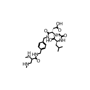 CNCC(NC)C(=O)NCc1ccc(CNC(=O)[C@H](CC(=O)O)NC(=O)[C@H](CC(C)C)NC(C)=O)cc1